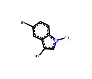 CC(C)c1ccc2c(c1)c(C(C)C)cn2C